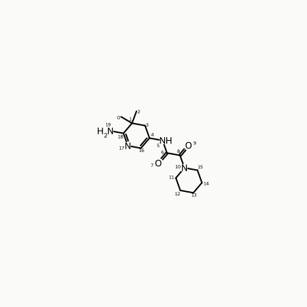 CC1(C)CC(NC(=O)C(=O)N2CCCCC2)=CN=C1N